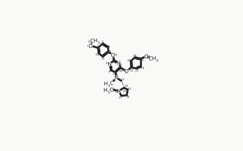 COc1ccc(Oc2ncc(N(C)C[C@@H]3CCCN3C)c(Oc3ccc(OC)cc3)n2)cc1